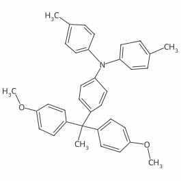 COc1ccc(C(C)(c2ccc(OC)cc2)c2ccc(N(c3ccc(C)cc3)c3ccc(C)cc3)cc2)cc1